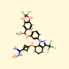 C[C@H](Oc1cc(-n2nc(C(F)(F)F)c3c2C(OC24CC(C(=N)NO)(C2)C4)CCC3)ccc1F)c1ccc2c(c1)OC(F)(F)O2